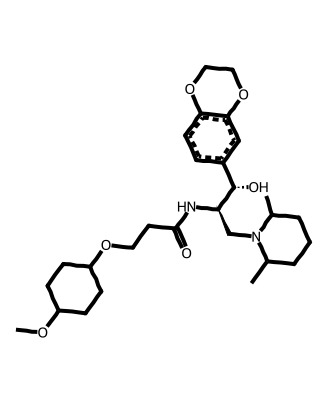 COC1CCC(OCCC(=O)N[C@H](CN2C(C)CCCC2C)[C@@H](O)c2ccc3c(c2)OCCO3)CC1